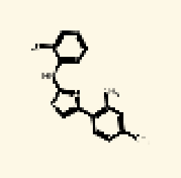 CCc1ccccc1Nc1nc(-c2ccc(C)cc2C)cs1